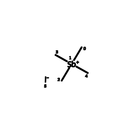 [CH3][Sb+]([CH3])([CH3])[CH3].[I-]